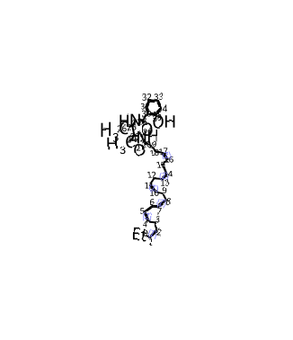 CC/C=C\C/C=C\C/C=C\C/C=C\C/C=C\C/C=C\CCC(=O)NC(C)C(C)NC(=O)c1ccccc1O